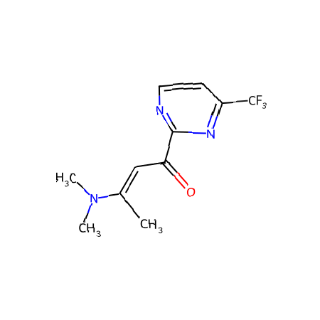 C/C(=C\C(=O)c1nccc(C(F)(F)F)n1)N(C)C